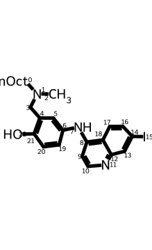 CCCCCCCCN(C)Cc1cc(Nc2ccnc3cc(I)ccc23)ccc1O